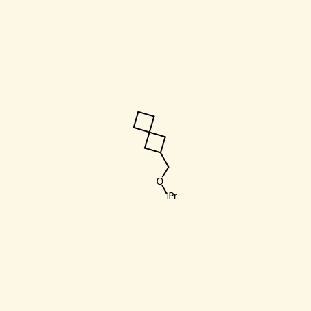 CC(C)OCC1CC2(CCC2)C1